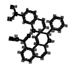 CCN(CC)c1ccc2c(c1)OC1(C=C2)C=C2c3c(cccc3C(=O)OC)C=CC2OC1c1ccccc1